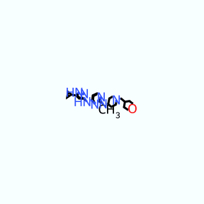 CN(c1nccc(Nc2cc(C3CC3)[nH]n2)n1)C1CCN(CC2CCOCC2)CC1